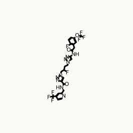 O=C(Cc1cc(OC(F)(F)F)ccc1F)Nc1cn(CCC(F)Cn2cc(C(=O)NCc3cc(C(F)(F)F)ccn3)nn2)nn1